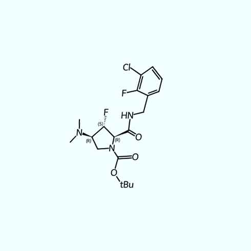 CN(C)[C@@H]1CN(C(=O)OC(C)(C)C)[C@H](C(=O)NCc2cccc(Cl)c2F)[C@H]1F